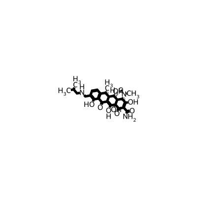 CC(C)CNCc1ccc2c(c1O)C(=O)C1=C(O)[C@]3(O)C(=O)C(C(N)=O)=C(O)[C@@H](N(C)C)C3[C@@H](O)C1[C@H]2C